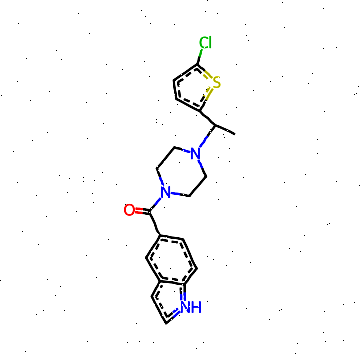 CC(c1ccc(Cl)s1)N1CCN(C(=O)c2ccc3[nH]ccc3c2)CC1